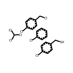 ClC(Cl)Cl.ClCc1ccc(Cl)cc1.Clc1ccccc1.SCc1ccc(Cl)cc1